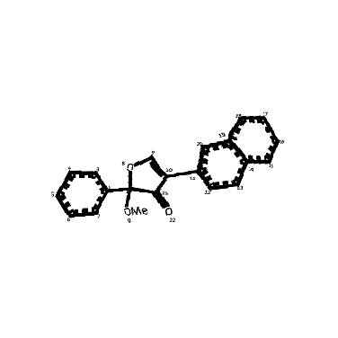 COC1(c2ccccc2)OC=C(c2ccc3ccccc3c2)C1=O